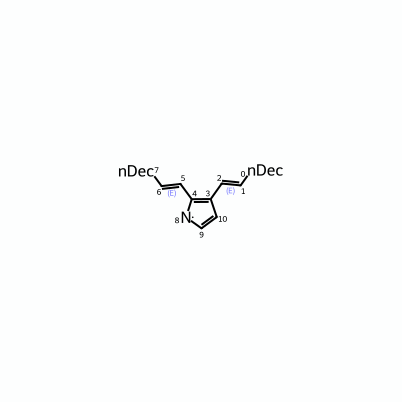 CCCCCCCCCC/C=C/C1=C(/C=C/CCCCCCCCCC)[N]C=C1